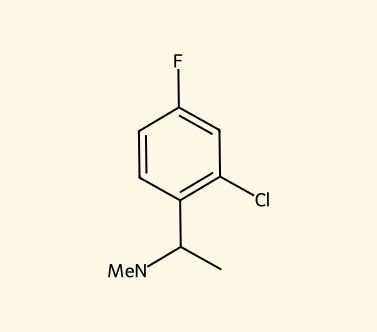 CNC(C)c1ccc(F)cc1Cl